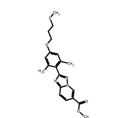 COC(=O)c1ccc2nc(-c3c(C)cc(OCCCSC)cc3C)nn2c1